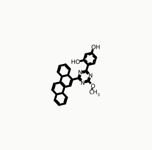 COc1nc(C2=CC3=C(C=CC4C=CC=CC34)C3C=CC=CC23)nc(-c2ccc(O)cc2O)n1